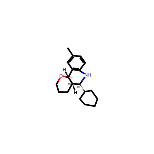 Cc1ccc2c(c1)[C@H]1OCCC[C@H]1[C@@H](C1CCCCC1)N2